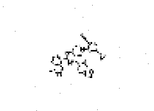 Cc1ccc2[nH]nc(C)c2c1-c1nc2c(c(N3CC[C@@]4(CCO4)C[C@H]3C)n1)CN(c1cc(C3CC3)ccc1C#N)CC2